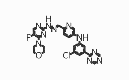 Fc1cnc(N/N=C/c2ccc(Nc3cc(Cl)cc(-c4ncncn4)c3)cn2)nc1N1CCOCC1